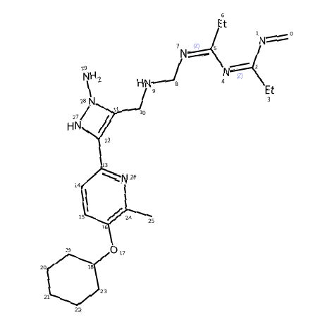 C=N/C(CC)=N\C(CC)=N/CNCc1c(-c2ccc(OC3CCCCC3)c(C)n2)[nH]n1N